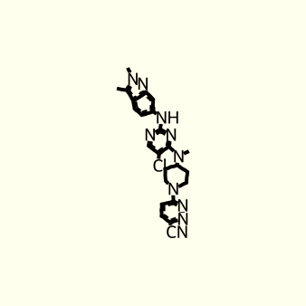 Cc1c2ccc(Nc3ncc(Cl)c(N(C)C4CCN(c5ccc(C#N)nn5)CC4)n3)cc2nn1C